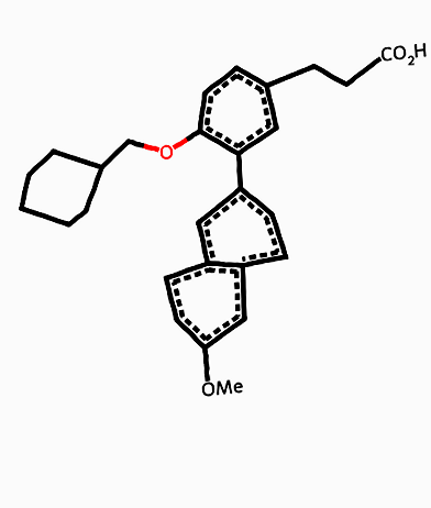 COc1ccc2cc(-c3cc(CCC(=O)O)ccc3OCC3CCCCC3)ccc2c1